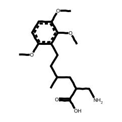 COc1ccc(OC)c(OC)c1CCC(C)CC(CN)C(=O)O